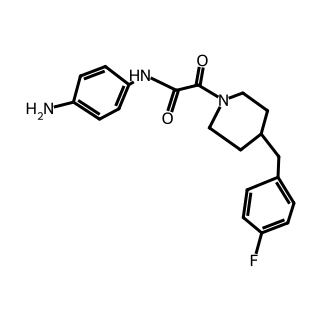 Nc1ccc(NC(=O)C(=O)N2CCC(Cc3ccc(F)cc3)CC2)cc1